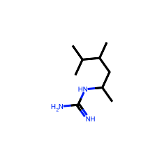 CC(CC(C)C(C)C)NC(=N)N